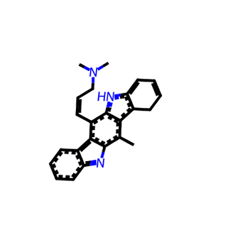 Cc1c2c(c(/C=C\CN(C)C)c3[nH]c4c(c13)CC=CC=4)=c1ccccc1=N2